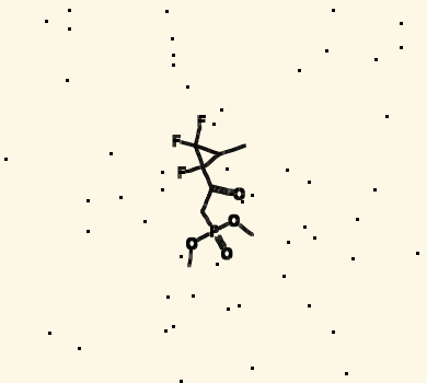 COP(=O)(CC(=O)C1(F)C(C)C1(F)F)OC